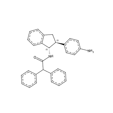 Nc1ccc([C@@H]2Cc3ccccc3[C@H]2NC(=O)C(c2ccccc2)c2ccccc2)cc1